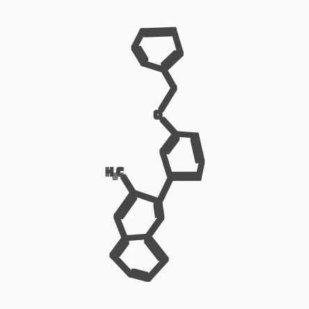 Cc1cc2ccccc2cc1-c1cccc(OCc2ccccc2)c1